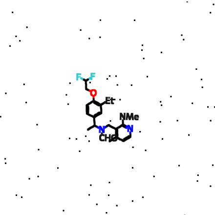 CCc1cc(C(C)N(C=O)Cc2c(C)ccnc2NC)ccc1OCC(F)F